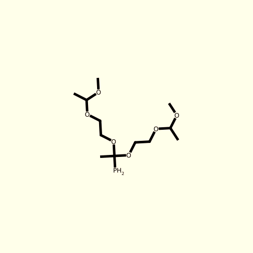 COC(C)OCCOC(C)(P)OCCOC(C)OC